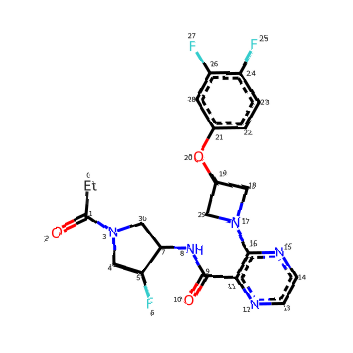 CCC(=O)N1CC(F)C(NC(=O)c2nccnc2N2CC(Oc3ccc(F)c(F)c3)C2)C1